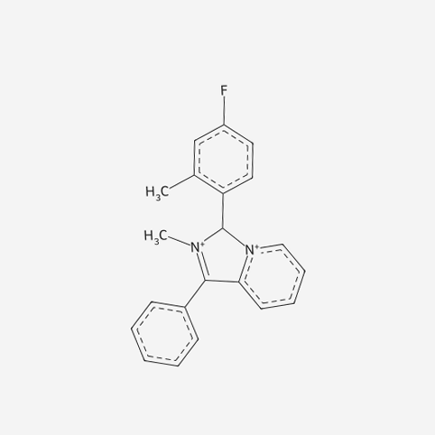 Cc1cc(F)ccc1C1[N+](C)=C(c2ccccc2)c2cccc[n+]21